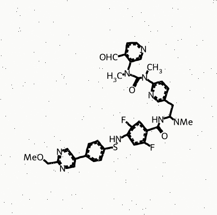 CNC(Cc1ccc(N(C)C(=O)N(C)c2cnccc2C=O)nc1)NC(=O)c1cc(F)c(NSc2ccc(-c3cnc(COC)nc3)cc2)cc1F